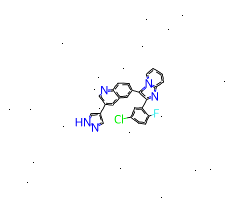 Fc1ccc(Cl)cc1-c1nc2ccccn2c1-c1ccc2ncc(-c3cn[nH]c3)cc2c1